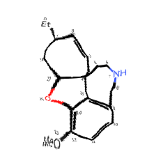 CC[C@H]1C=CC23CCNCc4ccc(OC)c(c42)OC3C1